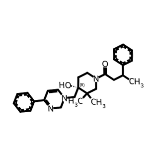 CC(CC(=O)N1CC[C@](O)(CN2C=CC(c3ccccc3)=NC2)C(C)(C)C1)c1ccccc1